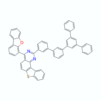 c1ccc(-c2cc(-c3ccccc3)cc(-c3cccc(-c4cccc(-c5nc(-c6cccc7c6oc6ccccc67)c6ccc7sc8ccccc8c7c6n5)c4)c3)c2)cc1